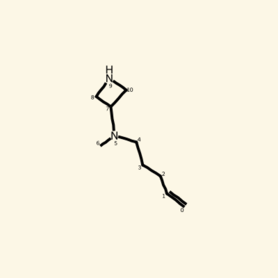 C=CCCCN(C)C1CNC1